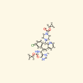 Cn1cncc1C(NC(=O)OC1(C)CC1)C1=Cc2cccnc2C(N2CCN(C(=O)OC3(C)CC3)CC2)c2ccc(Cl)cc21